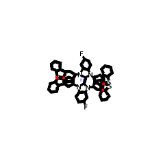 Fc1ccc2c(c1)N(c1ccc3sc4ccccc4c3c1)/C(=C1\N(c3ccc4sc5ccccc5c4c3)c3ccc(F)cc3N1c1ccc3sc4ccccc4c3c1)N2c1ccc2sc3ccccc3c2c1